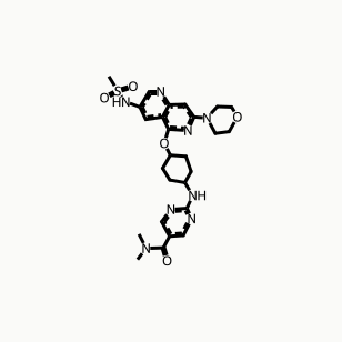 CN(C)C(=O)c1cnc(NC2CCC(Oc3nc(N4CCOCC4)cc4ncc(NS(C)(=O)=O)cc34)CC2)nc1